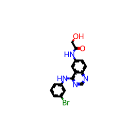 O=C(CO)Nc1ccc2ncnc(Nc3cccc(Br)c3)c2c1